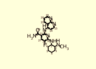 CNC1CCCCC1Nc1nc(Nc2ccnc3ncccc23)c(C(N)=O)cc1F